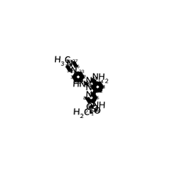 C=CS(=O)(=O)Nc1ccnc(-c2cccc3c(N)nc(Nc4ccc(N5CCN(C)CC5)cc4)nc23)c1